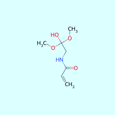 C=CC(=O)NCC(O)(OC)OC